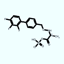 C[C@H](NOCc1ccc(-c2ccc(F)c(F)c2F)cc1)C(=O)OP(=O)(O)Cl